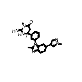 Cc1nc2ccc(-c3cnn(C)c3)cc2n1-c1cccc([C@]2(C)CC(=O)N(C)C(=N)N2)c1